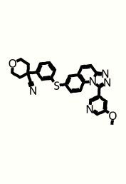 COc1cncc(-c2nnc3ccc4cc(Sc5cccc(C6(C#N)CCOCC6)c5)ccc4n23)c1